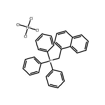 [Cl][Fe-]([Cl])([Cl])[Cl].c1ccc([P+](Cc2cccc3ccccc23)(c2ccccc2)c2ccccc2)cc1